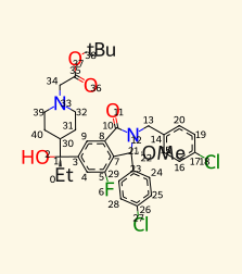 CC[C@](O)(c1cc(F)c2c(c1)C(=O)N(Cc1ccc(Cl)cc1)[C@@]2(OC)c1ccc(Cl)cc1)C1CCN(CC(=O)OC(C)(C)C)CC1